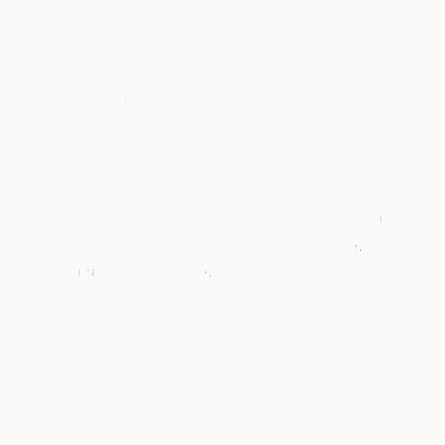 CN1CCOc2cc(S(=O)(=O)N3CCc4c(ccc(Cl)c4NC(=O)Cc4ccc(C(F)(F)F)c(F)c4)C3)ccc21